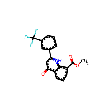 COC(=O)c1cccc2c(=O)cc(-c3cccc(C(F)(F)F)c3)[nH]c12